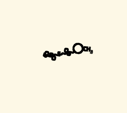 CC1CCCCCCCC(CCOC(=O)CCCSCCC(=O)OCc2ccco2)CCCC1